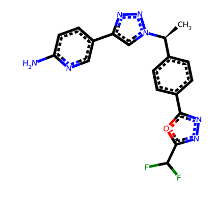 C[C@@H](c1ccc(-c2nnc(C(F)F)o2)cc1)n1cc(-c2ccc(N)nc2)nn1